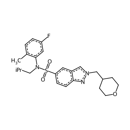 Cc1ccc(F)cc1N(CC(C)C)S(=O)(=O)c1ccc2nn(CC3CCOCC3)cc2c1